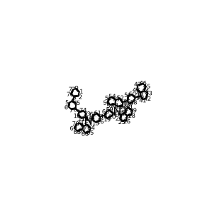 c1ccc(-c2cccc(-c3ccc(N(c4ccc(-c5ccc(N(c6cccc7ccccc67)c6cc(-c7ccc(-c8cccc9ccccc89)cc7)cc7ccccc67)cc5)cc4)c4cccc5ccccc45)cc3)c2)cc1